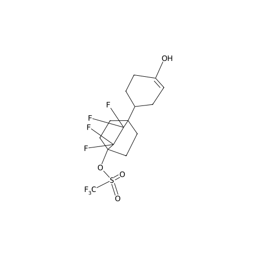 O=S(=O)(OC12CCC(C3CC=C(O)CC3)(CC1)C(F)(F)C2(F)F)C(F)(F)F